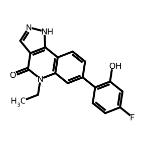 CCn1c(=O)c2cn[nH]c2c2ccc(-c3ccc(F)cc3O)cc21